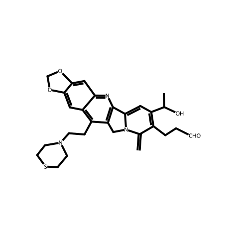 C=C1C(CCC=O)=C(C(C)O)C=C2c3nc4cc5c(cc4c(CCN4CCSCC4)c3CN12)OCO5